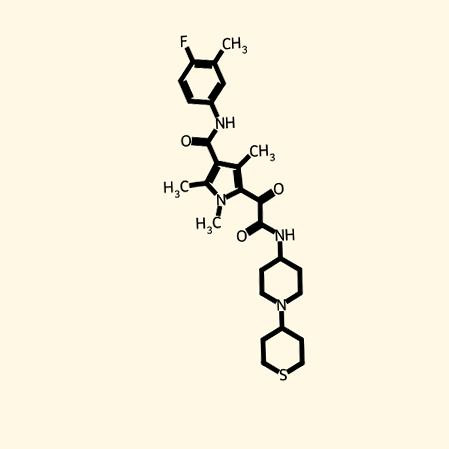 Cc1cc(NC(=O)c2c(C)c(C(=O)C(=O)NC3CCN(C4CCSCC4)CC3)n(C)c2C)ccc1F